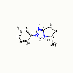 CC(C)[C@H]1CCc2n[n+](-c3ccccc3)cn21